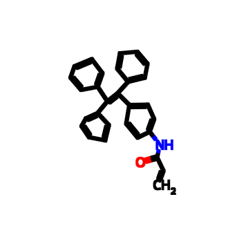 C=CC(=O)Nc1ccc(C(=C(c2ccccc2)c2ccccc2)c2ccccc2)cc1